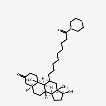 C[C@]12CCC(=O)C[C@@H]1CC[C@@H]1[C@@H]2[C@@H](CCCCCCCCC(=O)N2CCOCC2)C[C@]2(C)[C@@H](O)CC[C@@H]12